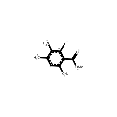 COC(=O)c1c(C)cc(C)c(N)c1F